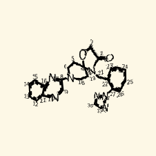 O=C1COC2(CCN(c3cnc4ccccc4n3)CC2)N1Cc1ccccc1-n1nccn1